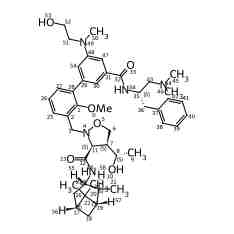 COc1c(CN2OC[C@@H]([C@H](C)O)[C@H]2C(=O)N[C@H]2C[C@H]3C[C@@H]([C@@H]2C)C3(C)C)cccc1-c1cc(C(=O)N[C@@H](Cc2ccccc2)CN(C)C)cc(N(C)CCO)c1